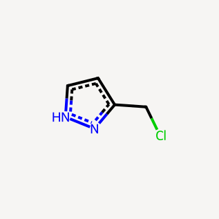 ClCc1cc[nH]n1